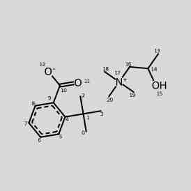 CC(C)(C)c1ccccc1C(=O)[O-].CC(O)C[N+](C)(C)C